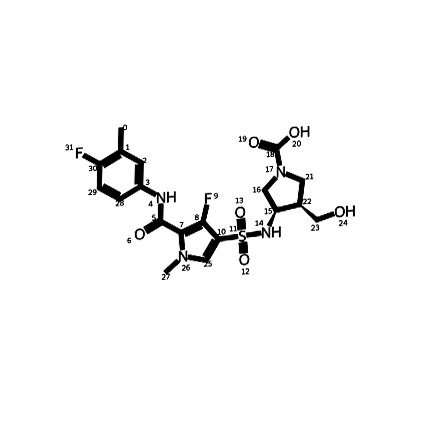 Cc1cc(NC(=O)c2c(F)c(S(=O)(=O)N[C@H]3CN(C(=O)O)C[C@H]3CO)cn2C)ccc1F